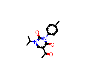 CC(=O)c1cn(C(C)C)c(=O)n(-c2ccc(C)cc2)c1=O